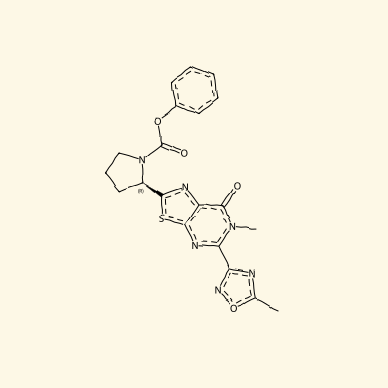 Cc1nc(-c2nc3sc([C@H]4CCCN4C(=O)Oc4ccccc4)nc3c(=O)n2C)no1